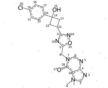 Cn1cnc2ncn(Cc3nc(C4CC(O)(c5ccc(Cl)cc5)C4)no3)c(=O)c21